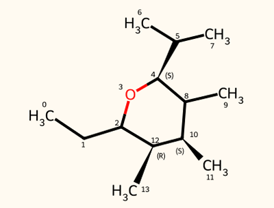 CCC1O[C@@H](C(C)C)C(C)[C@@H](C)[C@H]1C